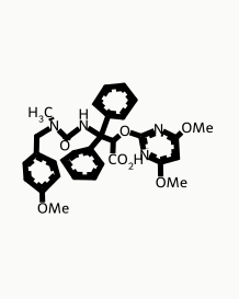 COc1ccc(CN(C)C(=O)NC(c2ccccc2)(c2ccccc2)C(Oc2nc(OC)cc(OC)n2)C(=O)O)cc1